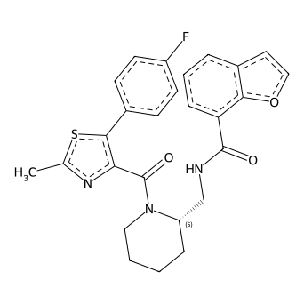 Cc1nc(C(=O)N2CCCC[C@H]2CNC(=O)c2cccc3ccoc23)c(-c2ccc(F)cc2)s1